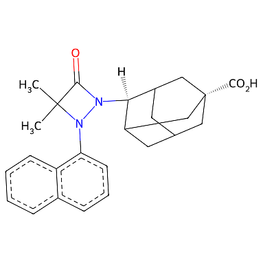 CC1(C)C(=O)N([C@H]2C3CC4CC2C[C@](C(=O)O)(C4)C3)N1c1cccc2ccccc12